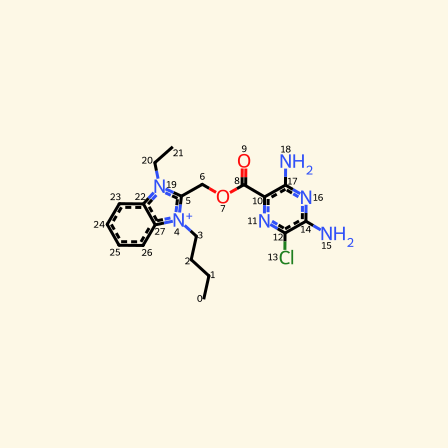 CCCC[n+]1c(COC(=O)c2nc(Cl)c(N)nc2N)n(CC)c2ccccc21